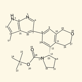 Cc1c[nH]c2ncc(-c3cc4c(c([C@@H]5CCCN5C(=O)OC(C)(C)C)c3)CCOC4)cc12